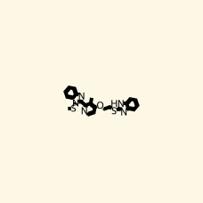 CSn1c(-c2nccc(OCCSc3nc4ccccc4[nH]3)c2C)nc2ccccc21